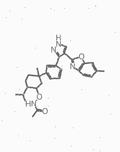 CC(=O)NOC1CC(C)(c2cccc(-c3n[nH]cc3-c3nc4ccc(C)cc4o3)c2)CCC1C(C)C